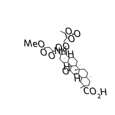 COC(=O)CC(=O)N[C@H]1CC[C@@]2(C)[C@@H](CC[C@]3(C)[C@@H]2C(=O)C=C2[C@@H]4C[C@@](C)(C(=O)O)CC[C@]4(C)CC[C@]23C)[C@]1(C)C(=O)OCc1oc(=O)oc1C